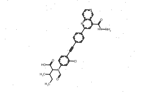 CCC(C)C(C(=O)O)N(C=O)c1ccc(C#Cc2ccc(-c3cc(C(=O)NN)c4cnccc4n3)cc2)c(Cl)c1